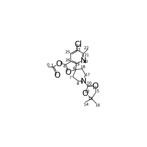 CC(=O)OC1OC2(CCN(C(=O)OC(C)(C)C)CC2)c2nc(C)c(Cl)cc21